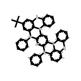 CC(C)(C)c1cc2c3c(c1)N(c1ccccc1)c1nc4c(cc1B3c1ccccc1O2)B1c2ccccc2Oc2cccc(c21)N4c1ccccc1